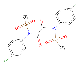 O=C(C(=O)N(c1ccc(F)cc1)S(=O)(=O)C(F)(F)F)N(c1ccc(F)cc1)S(=O)(=O)C(F)(F)F